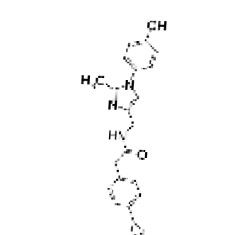 Cc1nc(CNC(=O)Cc2ccc(C3CC3)cc2)cn1-c1ccc(O)cc1